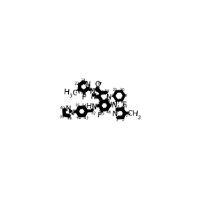 Cc1ccnc(N[C@@H]2CCCC[C@H]2n2cc3c(=O)n(-c4nccc(C)c4F)nc-3c3c(NCc4ccc(-n5cccn5)cc4)c(F)ccc32)c1F